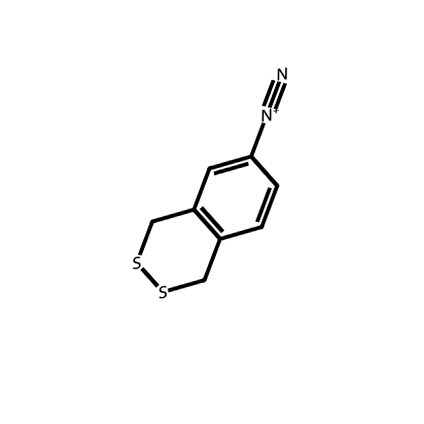 N#[N+]c1ccc2c(c1)CSSC2